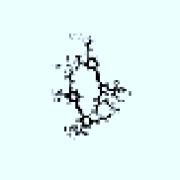 CCOC(=O)CCCOc1ccc(C#Cc2cc(CN3CCNCCN(Cc4cc(C#Cc5ccc(OCCCC(=O)OCC)c(N(C)CC)c5)cc(P(C)(=O)OCC)n4)CC3)nc(P(C)(=O)OCC)c2)cc1N(C)CC